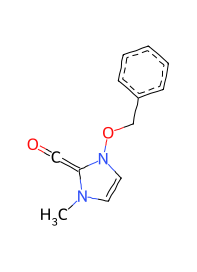 CN1C=CN(OCc2ccccc2)C1=C=O